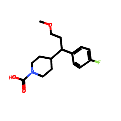 COCCC(c1ccc(F)cc1)C1CCN(C(=O)O)CC1